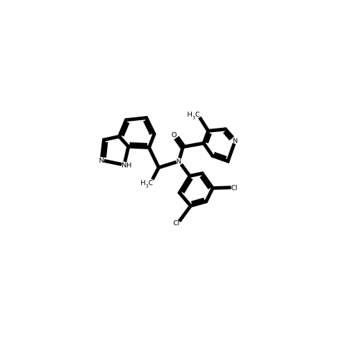 Cc1cnccc1C(=O)N(c1cc(Cl)cc(Cl)c1)C(C)c1cccc2cn[nH]c12